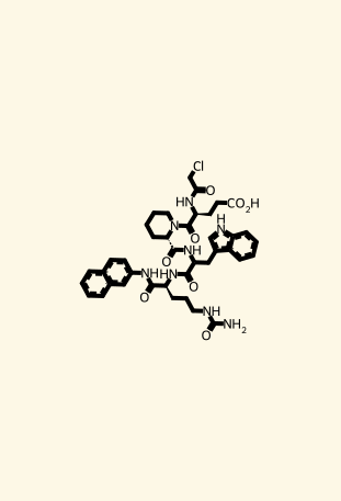 NC(=O)NCCC[C@H](NC(=O)C(Cc1c[nH]c2ccccc12)NC(=O)[C@@H]1CCCCN1C(=O)[C@H](CCC(=O)O)NC(=O)CCl)C(=O)Nc1ccc2ccccc2c1